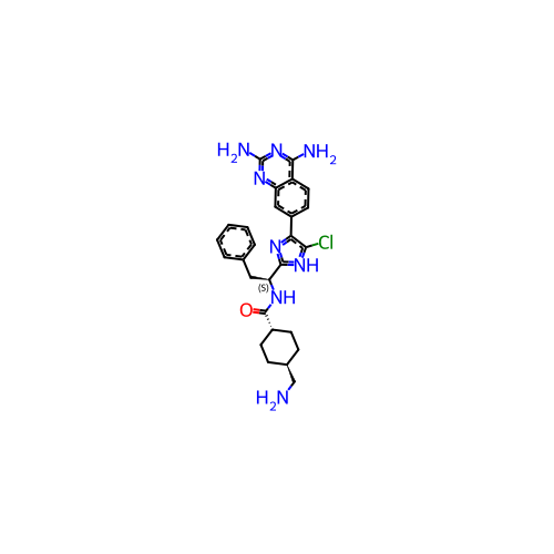 NC[C@H]1CC[C@H](C(=O)N[C@@H](Cc2ccccc2)c2nc(-c3ccc4c(N)nc(N)nc4c3)c(Cl)[nH]2)CC1